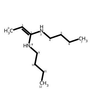 CC=C(NCCCC)NCCCC